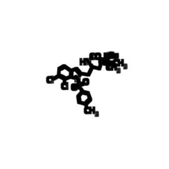 Cc1ccc(S(=O)(=O)n2c(CC(CO[Si](C)(C)C(C)(C)C)NC(=O)O)cc3ccc(Cl)c(Cl)c32)cc1